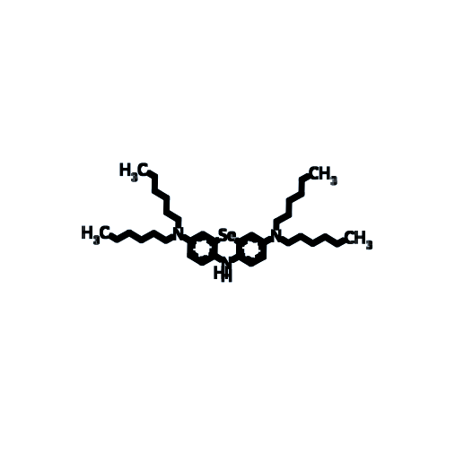 CCCCCCN(CCCCCC)c1ccc2c(c1)[Se]c1cc(N(CCCCCC)CCCCCC)ccc1N2.I